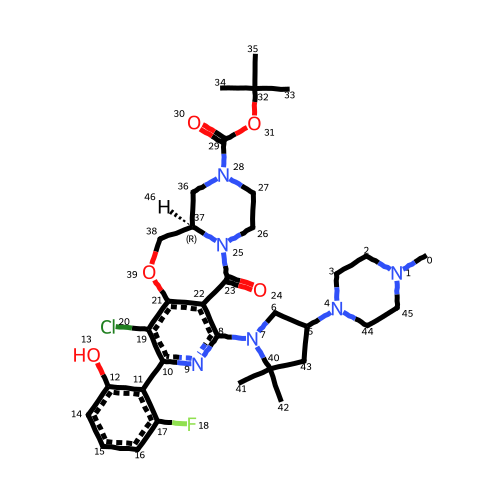 CN1CCN(C2CN(c3nc(-c4c(O)cccc4F)c(Cl)c4c3C(=O)N3CCN(C(=O)OC(C)(C)C)C[C@@H]3CO4)C(C)(C)C2)CC1